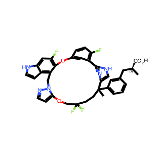 C[C@@H](Cc1cccc(C2(C)CCC(F)(F)COc3ccnn3Cc3c(c(F)cc4[nH]ccc34)Oc3ccc(F)c(c3)-c3nc2c[nH]3)c1)C(=O)O